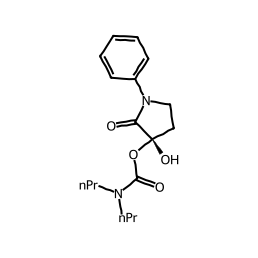 CCCN(CCC)C(=O)O[C@@]1(O)CCN(c2ccccc2)C1=O